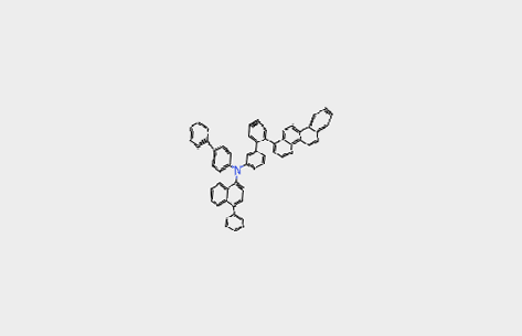 c1ccc(-c2ccc(N(c3cccc(-c4ccccc4-c4cccc5c4ccc4c6ccccc6ccc54)c3)c3ccc(-c4ccccc4)c4ccccc34)cc2)cc1